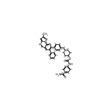 Cc1cc2ncc3cc(-c4ccccc4)c(-c4ccc(CN5CCC(OC(=O)Nc6ccc(C(N)=O)cc6)CC5)cc4)nc3n2n1